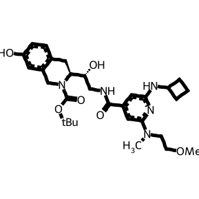 COCCN(C)c1cc(C(=O)NC[C@@H](O)[C@@H]2Cc3ccc(O)cc3CN2C(=O)OC(C)(C)C)cc(NC2CCC2)n1